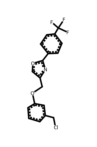 FC(F)(F)c1ccc(-c2nc(COc3cccc(CCl)c3)co2)cc1